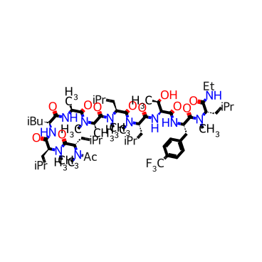 CCNC(=O)[C@H](CC(C)C)N(C)C(=O)[C@H](Cc1ccc(C(F)(F)F)cc1)NC(=O)[C@@H](NC(=O)[C@H](CC(C)C)N(C)C(=O)[C@H](CC(C)C)N(C)C(=O)[C@H](C)N(C)C(=O)[C@H](C)NC(=O)[C@@H](NC(=O)[C@H](CC(C)C)N(C)C(=O)[C@H](CC(C)C)N(C)C(C)=O)[C@@H](C)CC)[C@@H](C)O